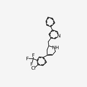 FC(F)(F)c1cc(C2=CCNC(Cc3cncc(-c4ccccc4)c3)C2)ccc1Cl